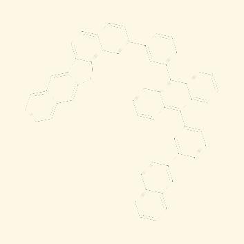 c1cc(-c2ccc3ccccc3c2)cc(-c2c3ccccc3c(-c3cccc(-c4ccc5ccc6c7cc8ccccc8cc7oc6c5c4)c3)c3ccccc23)c1